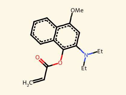 C=CC(=O)Oc1c(N(CC)CC)cc(OC)c2ccccc12